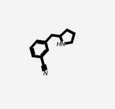 N#Cc1cccc(CC2CCCN2)c1